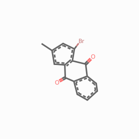 Cc1cc(Br)c2c(c1)C(=O)c1ccccc1C2=O